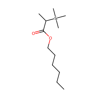 CCCCCCOC(=O)C(C)[Si](C)(C)C